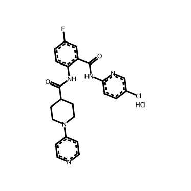 Cl.O=C(Nc1ccc(Cl)cn1)c1cc(F)ccc1NC(=O)C1CCN(c2ccncc2)CC1